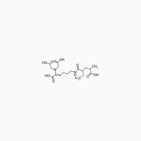 CCC(CC(C)C(=O)O)C(=O)NCCCC[C@@H](C(=O)O)N(CC(=O)O)CC(=O)O